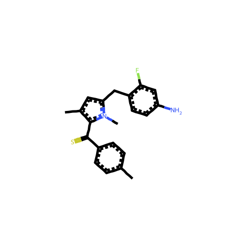 Cc1ccc(C(=S)c2c(C)cc(Cc3ccc(N)cc3F)n2C)cc1